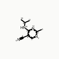 Cc1ncc(C#N)c(NC(C)C)n1